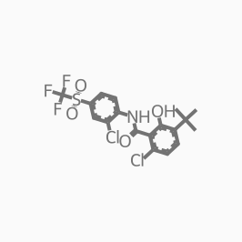 CC(C)(C)c1ccc(Cl)c(C(=O)Nc2ccc(S(=O)(=O)C(F)(F)F)cc2Cl)c1O